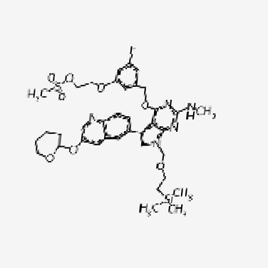 CNc1nc(OCc2cc(F)cc(OCCOS(C)(=O)=O)c2)c2c(-c3ccc4ncc(OC5CCCCO5)cc4c3)cn(COCC[Si](C)(C)C)c2n1